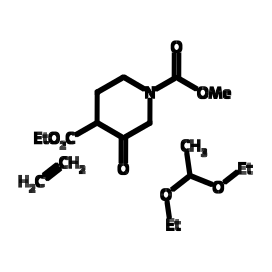 C=C.CCOC(=O)C1CCN(C(=O)OC)CC1=O.CCOC(C)OCC